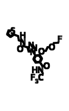 O=C(NCC(F)(F)F)c1ccc(-n2cc(C(=O)NCCc3cccs3)nn2)c(OCCOCCF)c1